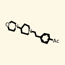 CC(=O)c1ccc(CCN2CCC(N3CCOCC3)CC2)cc1